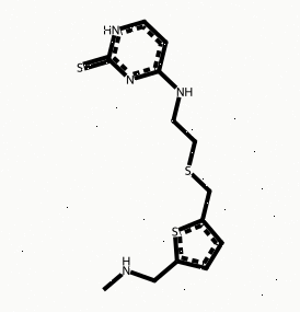 CNCc1ccc(CSCCNc2cc[nH]c(=S)n2)s1